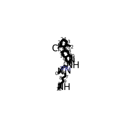 C=N/C=C\C(=N/CCCCCNC)Nc1cc2ccc(-c3c(C)cccc3Cl)cc2cn1